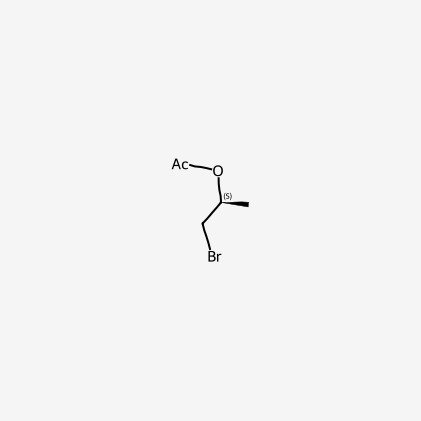 CC(=O)O[C@@H](C)CBr